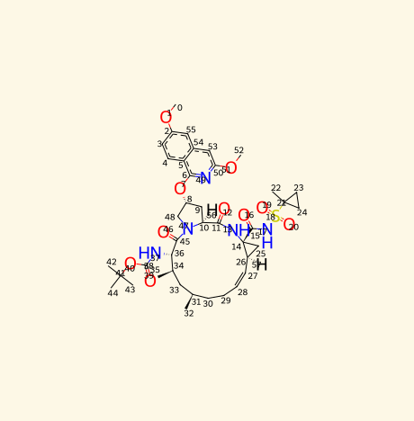 COc1ccc2c(O[C@@H]3C[C@H]4C(=O)N[C@]5(C(=O)NS(=O)(=O)C6(C)CC6)C[C@H]5/C=C\CC[C@@H](C)C[C@@H](C)[C@H](NC(=O)OC(C)(C)C)C(=O)N4C3)nc(OC)cc2c1